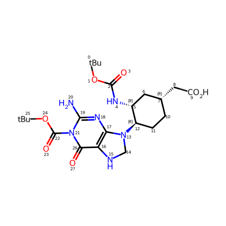 CC(C)(C)OC(=O)N[C@@H]1C[C@H](CC(=O)O)CC[C@H]1N1CNc2c1nc(N)n(C(=O)OC(C)(C)C)c2=O